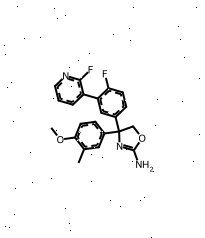 COc1ccc(C2(c3ccc(F)c(-c4cccnc4F)c3)COC(N)=N2)cc1C